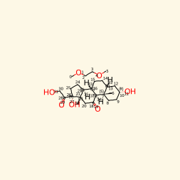 COCCOC.C[C@]12CC[C@@H](O)C[C@H]1CC[C@@H]1[C@@H]2C(=O)C[C@@]2(C)[C@H]1CC[C@]2(O)C(=O)CO